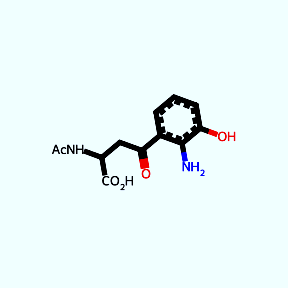 CC(=O)NC(CC(=O)c1cccc(O)c1N)C(=O)O